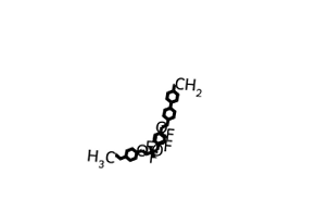 C=CC1CCC(C2CCC(COc3ccc(OC(F)(F)COC4CCC(CCC)CC4)c(F)c3F)CC2)CC1